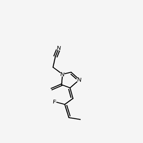 C=c1/c(=C\C(F)=C/C)ncn1CC#N